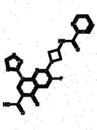 O=C(NC1CN(c2nc3c(cc2F)c(=O)c(C(=O)O)cn3-c2ncns2)C1)c1c#cccn1